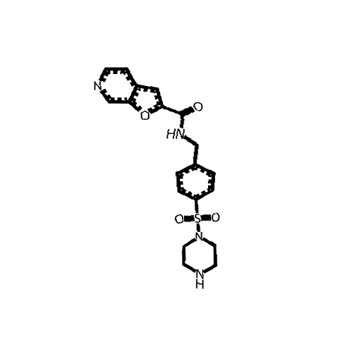 O=C(NCc1ccc(S(=O)(=O)N2CCNCC2)cc1)c1cc2ccncc2o1